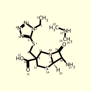 CCn1nnnc1SCC1(C(=O)O)CS[C@@H]2C(N)C(=O)N2C1.CNC